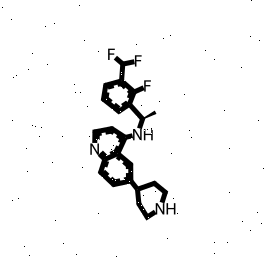 C[C@@H](Nc1ccnc2ccc(C3CCNCC3)cc12)c1cccc(C(F)F)c1F